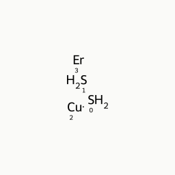 S.S.[Cu].[Er]